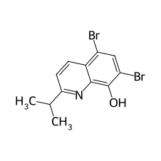 CC(C)c1ccc2c(Br)cc(Br)c(O)c2n1